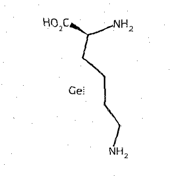 NCCCC[C@H](N)C(=O)O.[Ge]